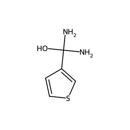 NC(N)(O)c1ccsc1